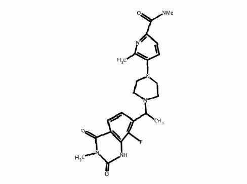 CNC(=O)c1ccc(N2CCN(C(C)c3ccc4c(=O)n(C)c(=O)[nH]c4c3F)CC2)c(C)n1